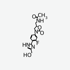 CC(=O)NCC1CN(c2ccc(-c3nc(CO)c[nH]3)c(F)c2)C(=O)O1